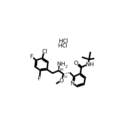 CO[C@@H](Cc1ncccc1C(=O)NC(C)(C)C)[C@H](N)Cc1cc(Cl)c(F)cc1F.Cl.Cl